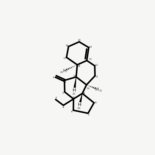 C=C1CC2(CC)CCC[C@H]2[C@@H]2CCC3=CCCC[C@@H]3[C@@H]12